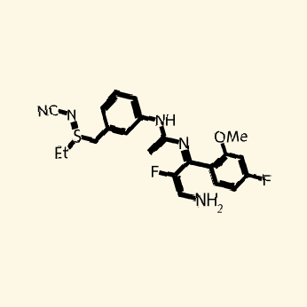 C=C(/N=C(\C(F)=C/N)c1ccc(F)cc1OC)Nc1cccc(CS(CC)=NC#N)c1